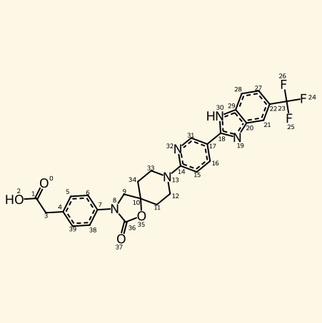 O=C(O)Cc1ccc(N2CC3(CCN(c4ccc(-c5nc6cc(C(F)(F)F)ccc6[nH]5)cn4)CC3)OC2=O)cc1